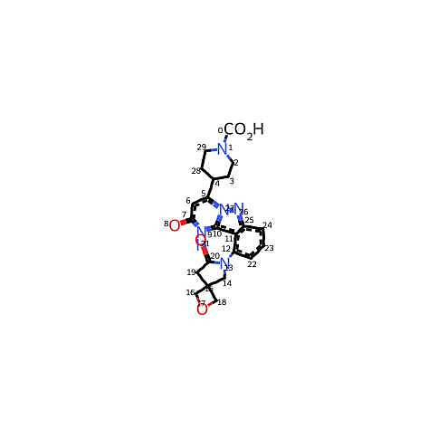 O=C(O)N1CCC(c2cc(=O)[nH]c3c4c(N5CC6(COC6)CC5=O)cccc4nn23)CC1